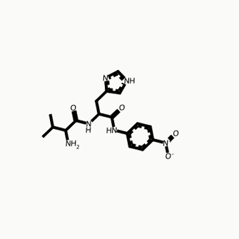 CC(C)C(N)C(=O)NC(Cc1c[nH]cn1)C(=O)Nc1ccc([N+](=O)[O-])cc1